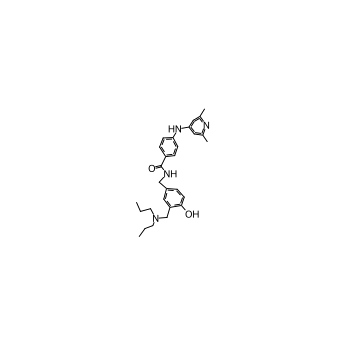 CCCN(CCC)Cc1cc(CNC(=O)c2ccc(Nc3cc(C)nc(C)c3)cc2)ccc1O